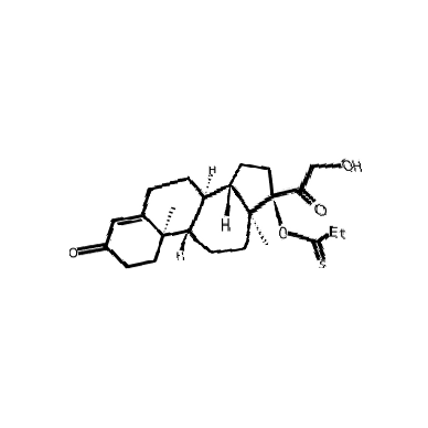 CCC(=S)O[C@]1(C(=O)CO)CC[C@H]2[C@@H]3CCC4=CC(=O)CC[C@]4(C)[C@H]3CC[C@@]21C